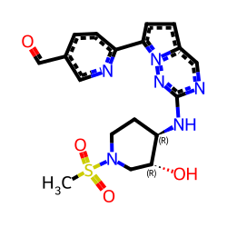 CS(=O)(=O)N1CC[C@@H](Nc2ncc3ccc(-c4ccc(C=O)cn4)n3n2)[C@H](O)C1